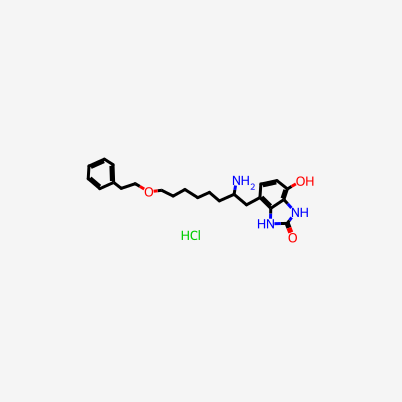 Cl.NC(CCCCCCOCCc1ccccc1)Cc1ccc(O)c2[nH]c(=O)[nH]c12